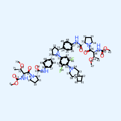 COC(=O)N[C@H](C(=O)N1CCC[C@H]1C(=O)Nc1ccc([C@@H]2CC[C@@H](c3ccc(NC(=O)[C@@H]4CCCN4C(=O)[C@@H](NC(=O)OC)[C@@H](C)OC)cc3)N2c2cc(F)c(N3CC[Si]4(CCC4)CC3)c(F)c2)cc1)[C@@H](C)OC